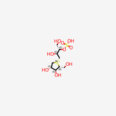 O=S(=O)(O)O[C@@H](CO)[C@H](O)C[S@@+]1C[C@@H](O)[C@H](O)[C@H]1CO